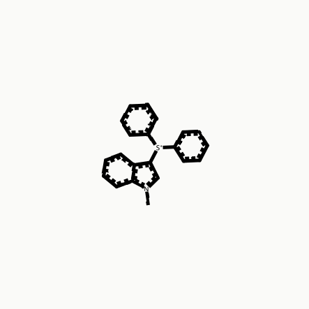 Cn1cc([S+](c2ccccc2)c2ccccc2)c2ccccc21